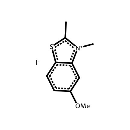 COc1ccc2sc(C)[n+](C)c2c1.[I-]